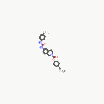 Cc1ccc(NC(=O)Nc2ccc3c(c2)CCN(C(=O)O[C@H]2CC[C@H](CC(=O)O)CC2)C3)cc1